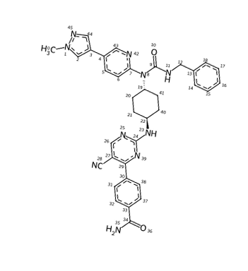 Cn1cc(-c2ccc(N(C(=O)NCc3ccccc3)[C@H]3CC[C@H](Nc4ncc(C#N)c(-c5ccc(C(N)=O)cc5)n4)CC3)nc2)cn1